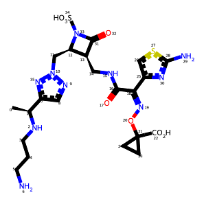 C[C@H](NCCCN)c1cnn(C[C@@H]2[C@H](CNC(=O)/C(=N\OC3(C(=O)O)CC3)c3csc(N)n3)C(=O)N2S(=O)(=O)O)n1